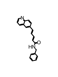 O=C(C=CC=Cc1ccc2ncccc2c1)NCc1ccccc1